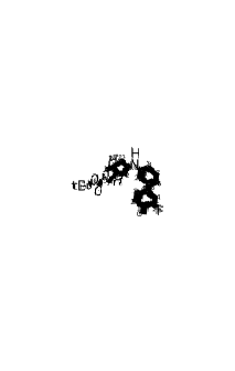 Cc1ccc(-c2cccc(NC3C[C@@H]4CN(C(=O)OC(C)(C)C)C[C@@H]4C3)c2)cc1F